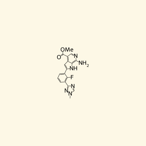 COC(=O)c1cnc(N)c2[nH]c(-c3cccc(-c4ncn(C)n4)c3F)cc12